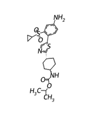 CC(C)OC(=O)N[C@H]1CC[C@H](c2ncc(-c3ccc(N)cc3S(=O)(=O)C3CC3)s2)CC1